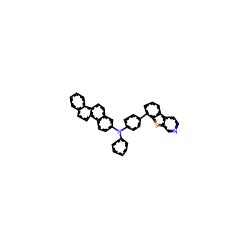 c1ccc(N(c2ccc(-c3cccc4c3sc3cnccc34)cc2)c2ccc3c(ccc4c5ccccc5ccc34)c2)cc1